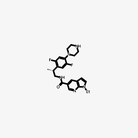 CCn1ccc2cc(C(=O)NC[C@H](C)c3cc(F)c(N4CCNCC4)cc3F)cnc21